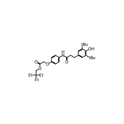 CCC(CC)(CC)COC(=O)COc1ccc(NC(=O)CCc2cc(C(C)(C)C)c(O)c(C(C)(C)C)c2)cc1